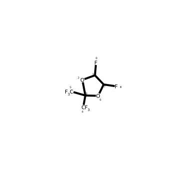 FC1OC(C(F)(F)F)(C(F)(F)F)OC1F